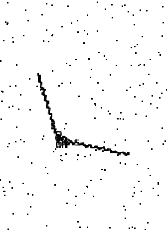 CCCCCCCCCCCCCCCCSCCOOP(O)OOCCSCCCCCCCCCCCCCCCC